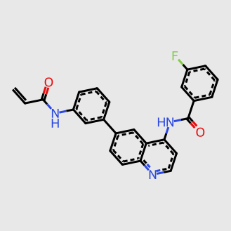 C=CC(=O)Nc1cccc(-c2ccc3nccc(NC(=O)c4cccc(F)c4)c3c2)c1